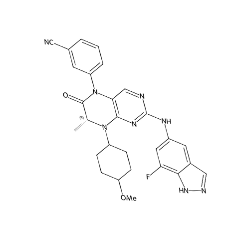 COC1CCC(N2c3nc(Nc4cc(F)c5[nH]ncc5c4)ncc3N(c3cccc(C#N)c3)C(=O)[C@H]2C)CC1